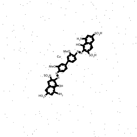 COc1cc(-c2ccc(N=Nc3c(S(=O)(=O)O)cc4cc(S(=O)(=O)O)cc(N)c4c3O)c(OC)c2)ccc1N=Nc1c(S(=O)(=O)O)cc2cc(S(=O)(=O)O)cc(N)c2c1O.[Cu]